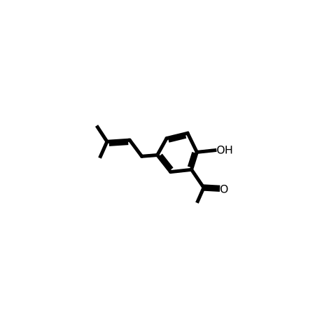 CC(=O)c1cc(CC=C(C)C)ccc1O